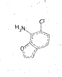 Nc1c(Cl)ccc2ccoc12